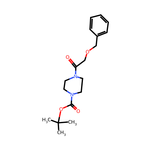 CC(C)(C)OC(=O)N1CCN(C(=O)COCc2ccccc2)CC1